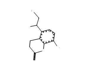 [NH]CC(O)c1ccc(O)c2c1CCC(=O)N2